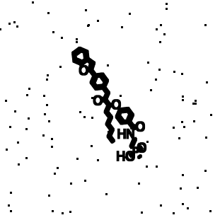 CCCCCCC(Oc1ccc(C(=O)NCCP(C)(=O)O)cc1)C(=O)Cc1ccc(-c2cc3ccccc3o2)cc1